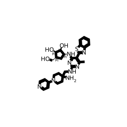 Cc1nc(NCC2(N)CCN(c3ccncc3)CC2)nc(N[C@@H]2C[C@H](CO)[C@@H](O)[C@H]2O)c1-c1nc2ccccc2s1